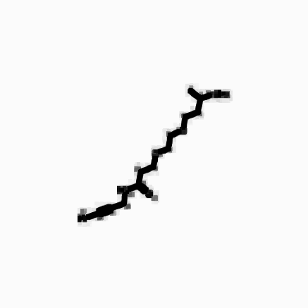 CCCCCCC(C)CCOCCOCCC(=O)NCC#CC(C)C